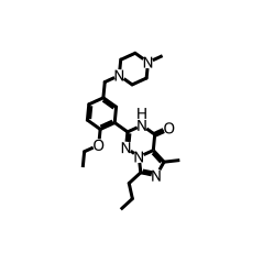 CCCc1nc(C)c2c(=O)[nH]c(-c3cc(CN4CCN(C)CC4)ccc3OCC)nn12